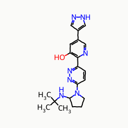 CC(C)(C)NC1CCCN1c1ccc(-c2ncc(-c3cn[nH]c3)cc2O)nn1